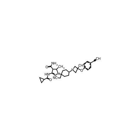 C#Cc1ccc(OC2(C)CN(C3CCC(CC#N)(N4N=C(NC(=O)C5CC5)C(C(N)=O)C4C)CC3)C2)cc1